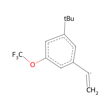 C=[C]c1cc(OC(F)(F)F)cc(C(C)(C)C)c1